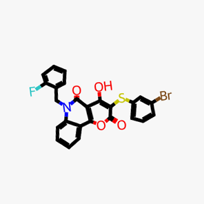 O=c1oc2c(c(O)c1Sc1cccc(Br)c1)c(=O)n(Cc1ccccc1F)c1ccccc21